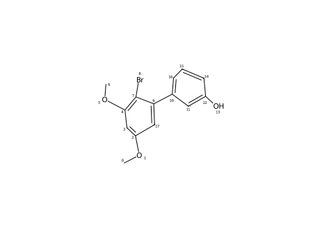 COc1cc(OC)c(Br)c(-c2[c]c(O)ccc2)c1